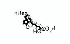 CCCCCCC=C[C@@]1([C](F)F)CCC(=O)[C@@H]1CCCCCC(O)C(=O)O